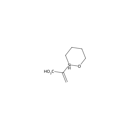 C=C(C(=O)O)[SiH]1CCCCO1